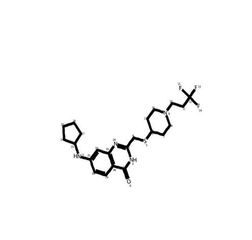 O=c1[nH]c(CSC2CCN(CCC(F)(F)F)CC2)nc2cc(NC3CCCC3)ccc12